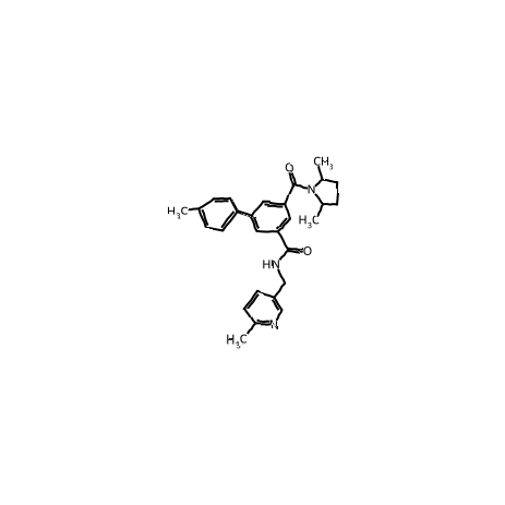 Cc1ccc(-c2cc(C(=O)NCc3ccc(C)nc3)cc(C(=O)N3C(C)CCC3C)c2)cc1